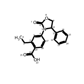 CCc1cc(N2C(=O)OCC2c2ccccc2)ccc1C(=O)O